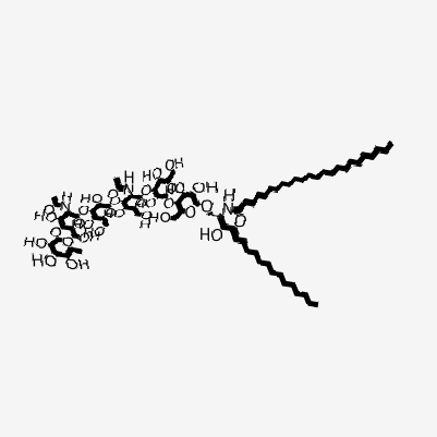 CCCCCCCCCCCCC/C=C/[C@@H](O)[C@H](CO[C@@H]1OC(CO)[C@@H](O[C@@H]2OC(CO)[C@H](O)[C@H](O[C@@H]3OC(CO)[C@@H](O)[C@H](O[C@@H]4OC(CO)[C@H](O)[C@H](O[C@@H]5OC(CO)[C@@H](O[C@H]6OC(C)[C@@H](O)C(O)[C@@H]6O)[C@H](O)C5NC(C)=O)C4O)C3NC(C)=O)C2O)[C@H](O)C1O)NC(=O)CCCCCCCCCCCCCCCCCCCCCCC